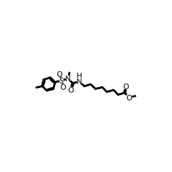 COC(=O)CCCCCCCNC(=O)N(C)S(=O)(=O)c1ccc(C)cc1